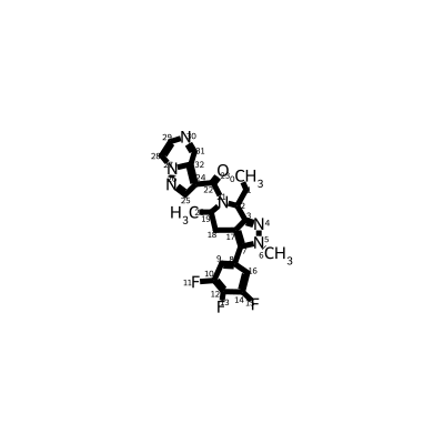 CCC1c2nn(C)c(-c3cc(F)c(F)c(F)c3)c2CC(C)N1C(=O)c1cnn2ccncc12